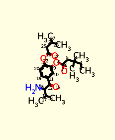 CCC(C)(C)CC(=O)Oc1cc(C(=O)C(N)C(C)C)ccc1OC(=O)CC(C)C